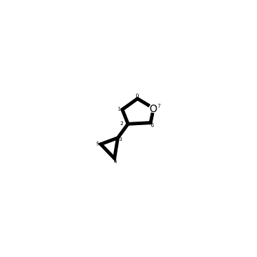 C1CC(C2CC2)CO1